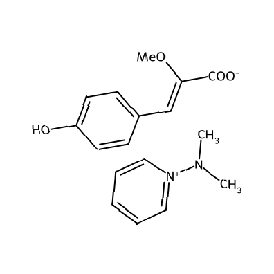 CN(C)[n+]1ccccc1.CO/C(=C\c1ccc(O)cc1)C(=O)[O-]